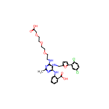 Cc1nc(NCCOCCOCCOCC(=O)O)c(NCc2ccc(-c3cc(Cl)ccc3Cl)o2)c(Nc2ccccc2C(=O)O)n1